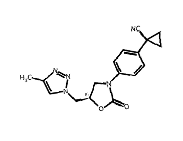 Cc1cn(C[C@H]2CN(c3ccc(C4(C#N)CC4)cc3)C(=O)O2)nn1